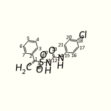 C=C(c1ccccc1)S(=O)(=O)NC(=O)Nc1ccc(Cl)cc1